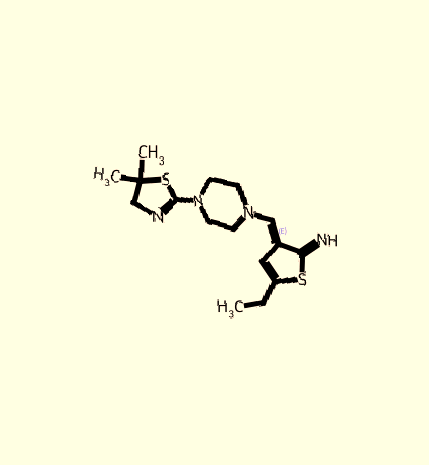 CCC1=C/C(=C\N2CCN(C3=NCC(C)(C)S3)CC2)C(=N)S1